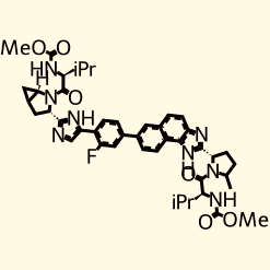 COC(=O)N[C@H](C(=O)N1C(C)CC[C@H]1c1nc2ccc3cc(-c4ccc(-c5cnc([C@@H]6CC7C[C@H]7N6C(=O)[C@@H](NC(=O)OC)C(C)C)[nH]5)c(F)c4)ccc3c2[nH]1)C(C)C